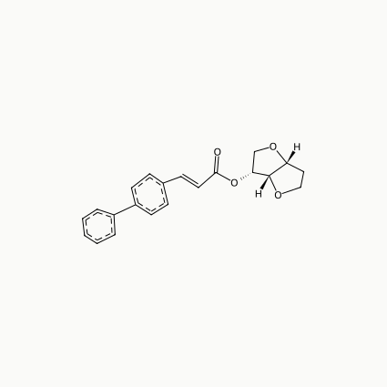 O=C(/C=C/c1ccc(-c2ccccc2)cc1)O[C@@H]1CO[C@@H]2CCO[C@@H]21